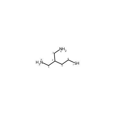 NCC(CN)CCS